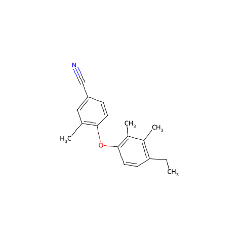 CCc1ccc(Oc2ccc(C#N)cc2C)c(C)c1C